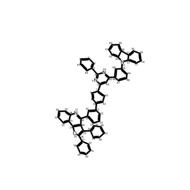 c1ccc(-c2nc(-c3ccc(-c4cccc(-c5nc6ccccc6c6oc(-c7ccccc7)c(-c7ccccc7)c56)c4)cc3)cc(-c3cccc(-n4c5ccccc5c5ccccc54)c3)n2)cc1